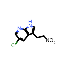 O=[N+]([O-])CCc1c[nH]c2ncc(Cl)cc12